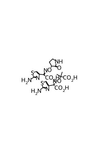 CC(C)(ON=C(C(=O)O)c1csc(N)n1)C(=O)O.Nc1nc(C(=NOC2CCNC2=O)C(=O)O)cs1